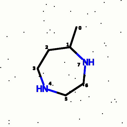 CC1CCNC[CH]N1